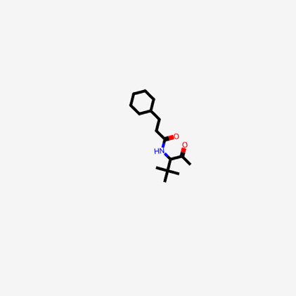 CC(=O)C(NC(=O)CCC1CCCCC1)C(C)(C)C